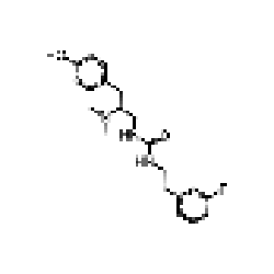 CN(C)C(CNC(=O)NCCc1cccc(F)c1)Cc1ccc(O)cc1